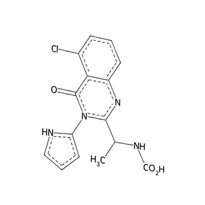 CC(NC(=O)O)c1nc2cccc(Cl)c2c(=O)n1-c1ccc[nH]1